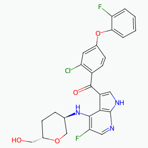 O=C(c1ccc(Oc2ccccc2F)cc1Cl)c1c[nH]c2ncc(F)c(N[C@@H]3CC[C@@H](CO)OC3)c12